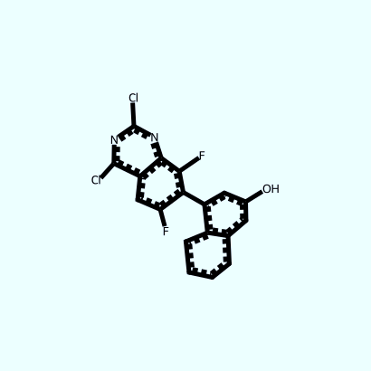 Oc1cc(-c2c(F)cc3c(Cl)nc(Cl)nc3c2F)c2ccccc2c1